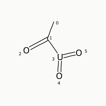 C[C](=O)[U](=[O])=[O]